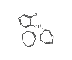 C1=CCCCC=C1.C1=CCCCC=C1.Cc1ccccc1O